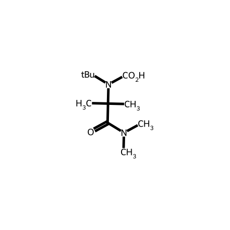 CN(C)C(=O)C(C)(C)N(C(=O)O)C(C)(C)C